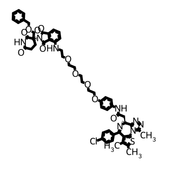 Cc1sc2c(c1C)C(c1ccc(Cl)cc1)=N[C@@H](CC(=O)Nc1ccc(OCCOCCOCCOCCNc3cccc4c3C(=O)N([C@]3(C(=O)OCc5ccccc5)CCC(=O)NC3=O)C4=O)cc1)c1nnc(C)n1-2